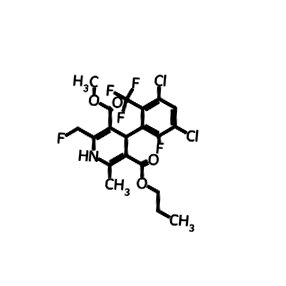 CCCOC(=O)C1=C(C)NC(CF)=C(C(=O)OC)C1c1c(F)c(Cl)cc(Cl)c1C(F)(F)F